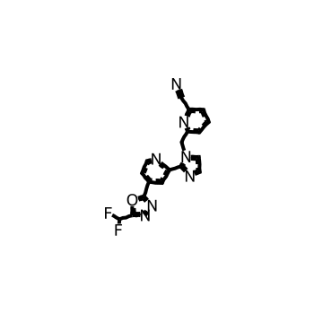 N#Cc1cccc(Cn2ccnc2-c2cc(-c3nnc(C(F)F)o3)ccn2)n1